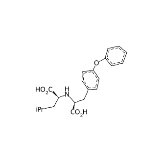 CC(C)C[C@H](N[C@@H](Cc1ccc(Oc2ccccc2)cc1)C(=O)O)C(=O)O